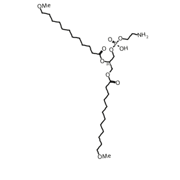 COCCCCCCCCCCCC(=O)OC[C@H](COP(=O)(O)OCCN)OC(=O)CCCCCCCCCCCOC